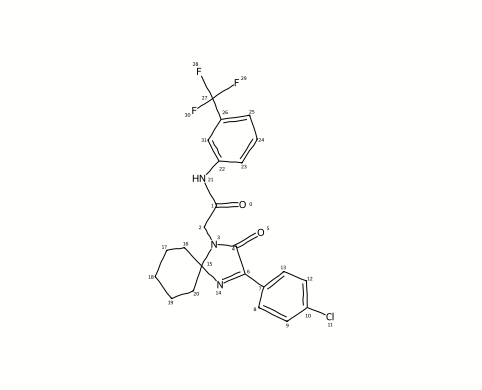 O=C(CN1C(=O)C(c2ccc(Cl)cc2)=NC12CCCCC2)Nc1cccc(C(F)(F)F)c1